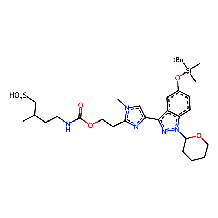 CC(CCNC(=O)OCCc1nc(-c2nn(C3CCCCO3)c3ccc(O[Si](C)(C)C(C)(C)C)cc23)cn1C)CS(=O)(=O)O